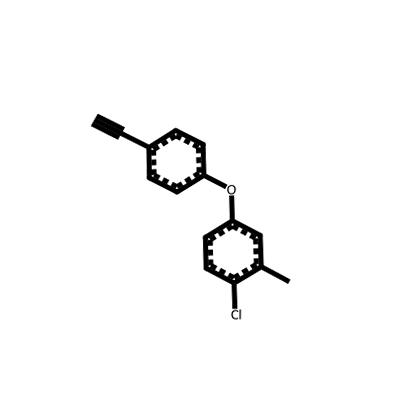 C#Cc1ccc(Oc2ccc(Cl)c(C)c2)cc1